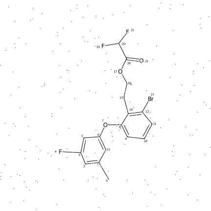 Cc1cc(F)cc(Oc2cccc(Br)c2CCOC(=O)C(F)F)c1